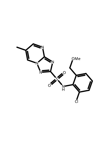 COCc1cccc(Cl)c1NS(=O)(=O)c1nc2ncc(C)cn2n1